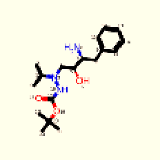 CC(C)N(C[C@H](O)[C@@H](N)Cc1ccccc1)NC(=O)OC(C)(C)C